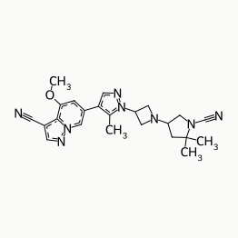 COc1cc(-c2cnn(C3CN(C4CN(C#N)C(C)(C)C4)C3)c2C)cn2ncc(C#N)c12